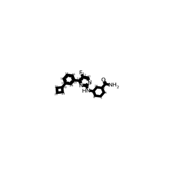 NC(=O)C1CCCC(Nc2ncc(F)c(-c3cccc(C4CCC4)c3)n2)C1